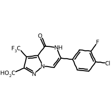 O=C(O)c1nn2cc(-c3ccc(Cl)c(F)c3)[nH]c(=O)c2c1C(F)(F)F